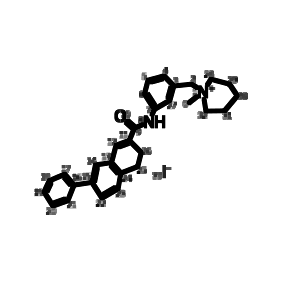 C[N+]1(Cc2cccc(NC(=O)C3=Cc4cc(-c5ccccc5)ccc4CC3)c2)CCCCC1.[I-]